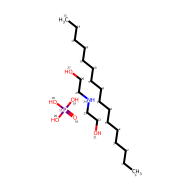 CCCCCCCCCCCCCCCC.O=P(O)(O)O.OCCNCCO